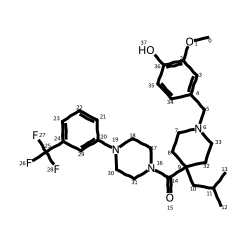 COc1cc(CN2CCC(CC(C)C)(C(=O)N3CCN(c4cccc(C(F)(F)F)c4)CC3)CC2)ccc1O